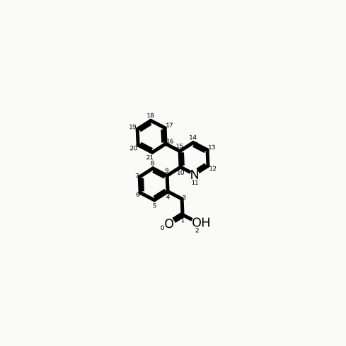 O=C(O)Cc1ccccc1-c1ncc[c]c1-c1ccccc1